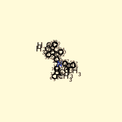 CC1(C)c2ccccc2-c2ccc(N(c3ccc(-c4c(-c5ccccc5)c5c(c6ccccc46)C(C)(C)c4ccccc4-5)cc3)c3ccc4c(c3)C(C)(C)c3ccccc3-4)cc21